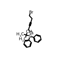 CC(C)(C)[Si](OCC#CCCBr)(c1ccccc1)c1ccccc1